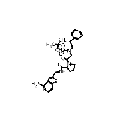 CC(C)(C)OC(=O)N(CCc1ccccc1)CC(=O)N1CCCC1C(=O)NCc1cc2c(N)nccc2s1